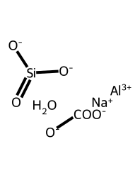 O.O=C([O-])[O-].O=[Si]([O-])[O-].[Al+3].[Na+]